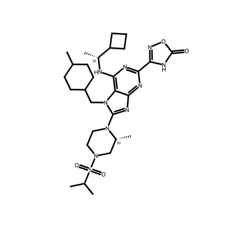 CC1CCC(Cn2c(N3CCN(S(=O)(=O)C(C)C)C[C@H]3C)nc3nc(-c4noc(=O)[nH]4)nc(N[C@H](C)C4CCC4)c32)CC1